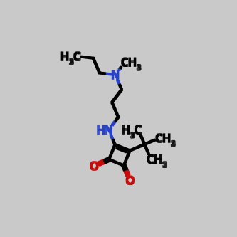 CCCN(C)CCCNc1c(C(C)(C)C)c(=O)c1=O